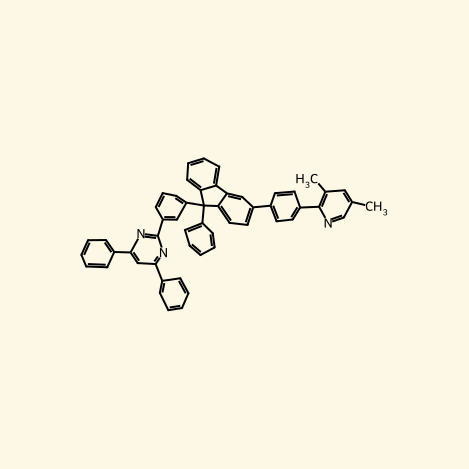 Cc1cnc(-c2ccc(-c3ccc4c(c3)-c3ccccc3C4(c3ccccc3)c3cccc(-c4nc(-c5ccccc5)cc(-c5ccccc5)n4)c3)cc2)c(C)c1